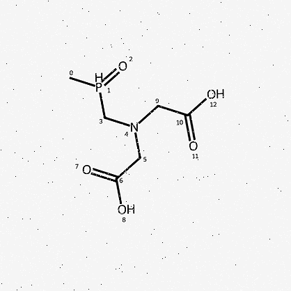 C[PH](=O)CN(CC(=O)O)CC(=O)O